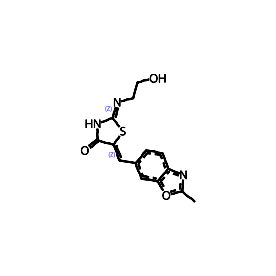 Cc1nc2ccc(/C=C3\S/C(=N\CCO)NC3=O)cc2o1